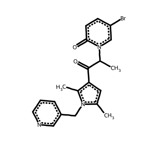 Cc1cc(C(=O)C(C)n2cc(Br)ccc2=O)c(C)n1Cc1cccnc1